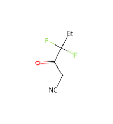 CCC(F)(F)C(=O)CC#N